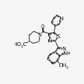 Cc1cccc2c(-c3nc(C(=O)N4CCC(C(=O)O)CC4)c(-c4cccnc4)s3)n[nH]c12